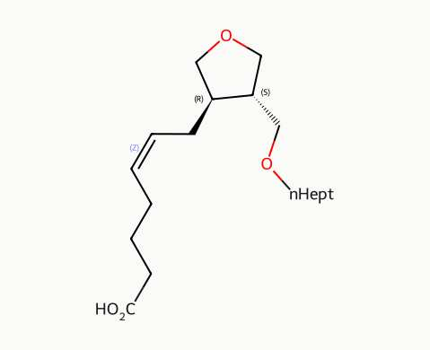 CCCCCCCOC[C@H]1COC[C@@H]1C/C=C\CCCC(=O)O